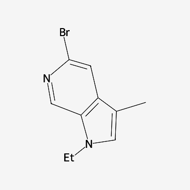 CCn1cc(C)c2cc(Br)ncc21